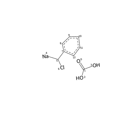 O=C(O)O.[Na][CH](Cl)c1ccccc1